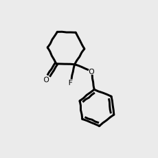 O=C1CCCCC1(F)Oc1ccccc1